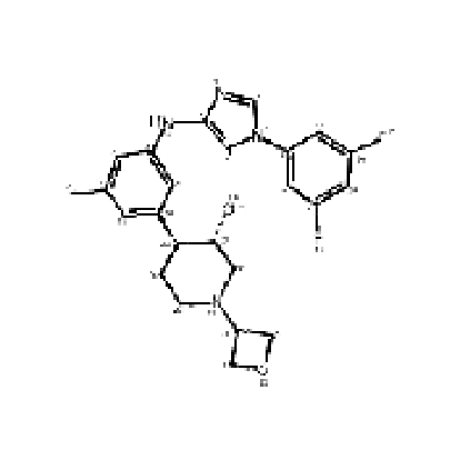 Cc1cc(Nc2ncn(-c3cc(F)cc(F)c3)n2)cc([C@@H]2CCN(C3COC3)C[C@H]2O)c1